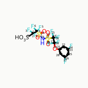 O=S(=O)(O)C(F)(F)C(F)(F)S(=O)(=O)NS(=O)(=O)C(F)(F)C(F)(F)Oc1cc(F)cc(F)c1